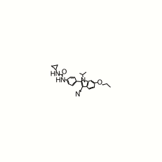 CCCOc1ccc2c(C#N)c(-c3ccc(NC(=O)NC4CC4)cc3)n(C(C)C)c2c1